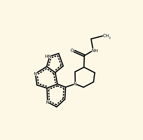 CCNC(=O)C1CCCN(c2ccnc3cnc4[nH]ccc4c23)C1